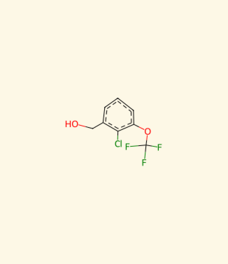 OCc1cccc(OC(F)(F)F)c1Cl